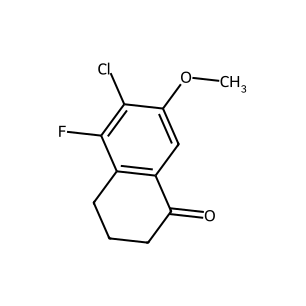 COc1cc2c(c(F)c1Cl)CCCC2=O